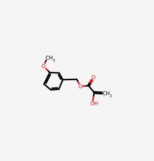 C=C(O)C(=O)OCc1cccc(OC)c1